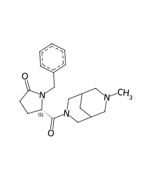 CN1CC2CC(C1)CN(C(=O)[C@@H]1CCC(=O)N1Cc1ccccc1)C2